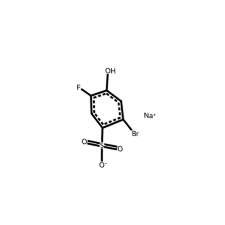 O=S(=O)([O-])c1cc(F)c(O)cc1Br.[Na+]